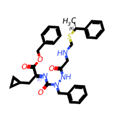 C[C@@H](SCNCC(=O)NN(Cc1ccccc1)C(=O)/N=C(\CC1CC1)C(=O)OCc1ccccc1)c1ccccc1